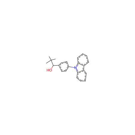 CC(C)(C)C(O)c1ccc(-n2c3ccccc3c3ccccc32)cc1